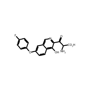 NC(C(=O)O)C(=O)c1ncc2cc(Oc3ccc(F)cc3)ccc2c1O